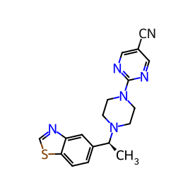 C[C@@H](c1ccc2scnc2c1)N1CCN(c2ncc(C#N)cn2)CC1